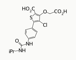 CC(C)NC(=O)Nc1ccc(-c2sc(C(=O)O)c(OCC(=O)O)c2Cl)cc1